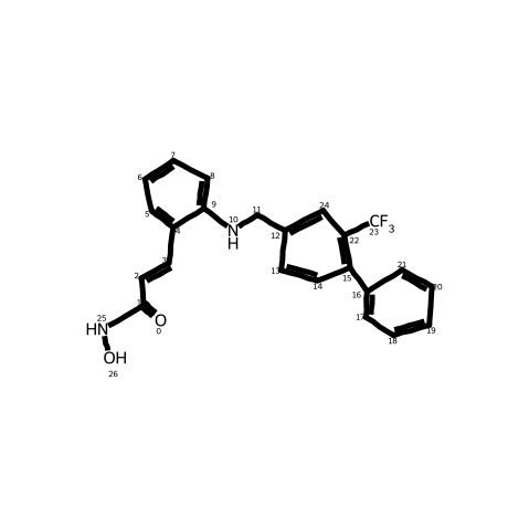 O=C(C=Cc1ccccc1NCc1ccc(-c2ccccc2)c(C(F)(F)F)c1)NO